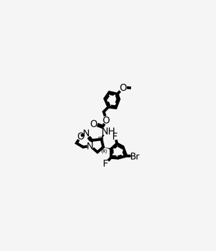 COc1ccc(COC(=O)N[C@@H]2C3=NOCCN3C[C@H]2c2c(F)cc(Br)cc2F)cc1